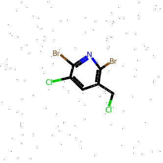 ClCc1cc(Cl)c(Br)nc1Br